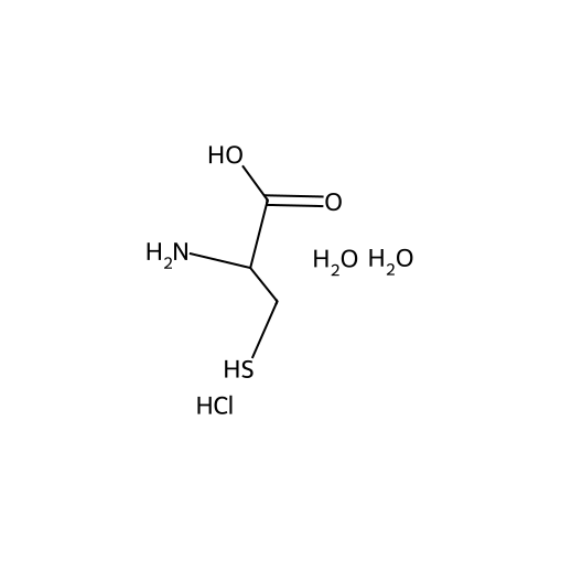 Cl.NC(CS)C(=O)O.O.O